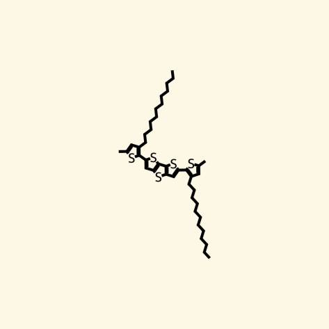 CCCCCCCCCCCCc1cc(C)sc1-c1cc2sc3cc(-c4sc(C)cc4CCCCCCCCCCCC)sc3c2s1